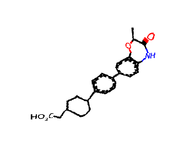 CC1Oc2cc(-c3ccc(C4CCC(CC(=O)O)CC4)cc3)ccc2NC1=O